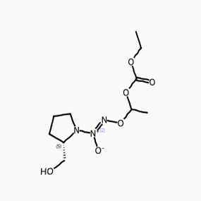 CCOC(=O)OC(C)O/N=[N+](\[O-])N1CCC[C@H]1CO